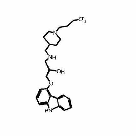 OC(CNCC1CCN(CCCC(F)(F)F)CC1)COc1cccc2[nH]c3ccccc3c12